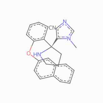 Cn1cncc1[C@@]1(c2c(C#N)cccc2Oc2ccc3ccccc3c2)CCCN1